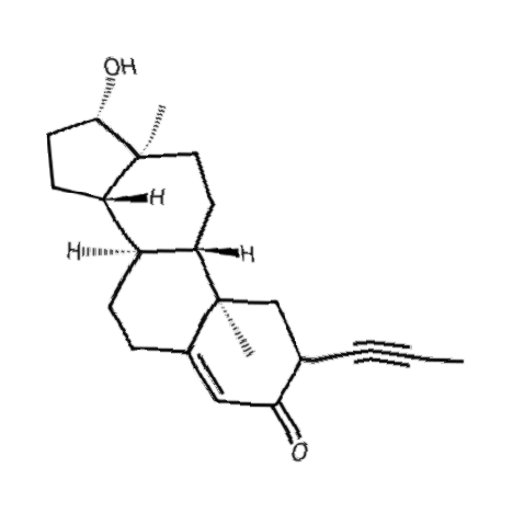 CC#CC1C[C@@]2(C)C(=CC1=O)CC[C@H]1[C@@H]3CC[C@H](O)[C@@]3(C)CC[C@@H]12